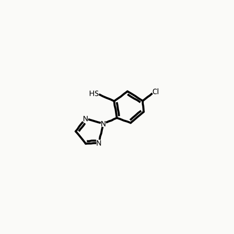 Sc1cc(Cl)ccc1-n1nccn1